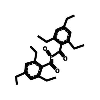 CCc1cc(CC)c(C(=O)[PH](=O)C(=O)c2c(CC)cc(CC)cc2CC)c(CC)c1